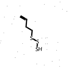 C=CCCSSS